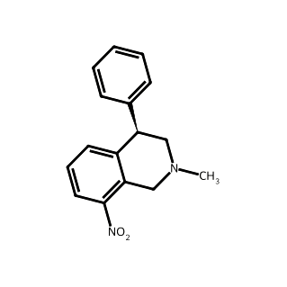 CN1Cc2c(cccc2[N+](=O)[O-])[C@@H](c2ccccc2)C1